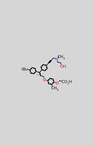 Cc1cc(OC/C=C(\c2ccc(C#CCN(C)CCO)cc2)c2ccc(C(C)(C)C)cc2)ccc1OCC(=O)O